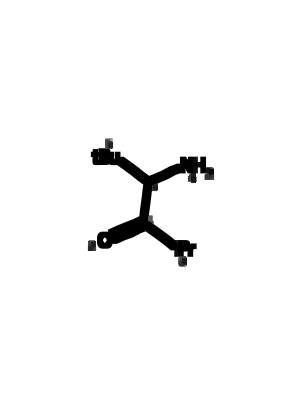 CC(C)C(=O)C(N)C(C)(C)C